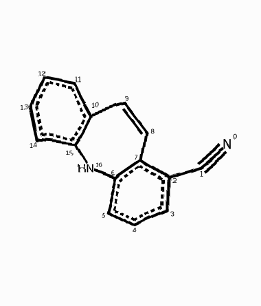 N#Cc1cccc2c1C=Cc1ccccc1N2